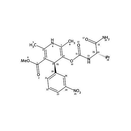 COC(=O)C1=C(C)NC(C)=C(OC(=O)N[C@H](C(N)=O)C(C)C)[C@H]1c1cccc([N+](=O)[O-])c1